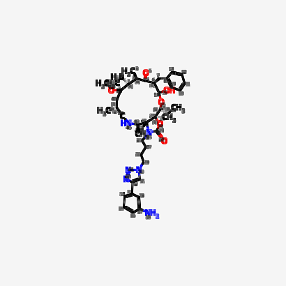 B[C@@H]1[C@@H](C)C(=O)[C@@H](Cc2ccccc2)C(O)O[C@H](CC)[C@@]2(C)OC(=O)N(CCCCn3cc(-c4cccc(N)c4)nn3)[C@@H]2[C@@H](C)NC[C@H](C)C[C@@]1(C)OC